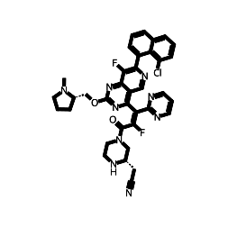 CN1CCC[C@H]1COc1nc(/C(=C(/F)C(=O)N2CCN[C@@H](CC#N)C2)c2ncccn2)c2cnc(-c3cccc4cccc(Cl)c34)c(F)c2n1